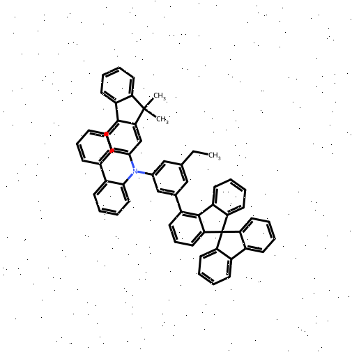 CCc1cc(-c2cccc3c2-c2ccccc2C32c3ccccc3-c3ccccc32)cc(N(c2ccc3c(c2)C(C)(C)c2ccccc2-3)c2ccccc2-c2ccccc2)c1